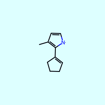 CC1=C(C2=CCCC2)[N]C=C1